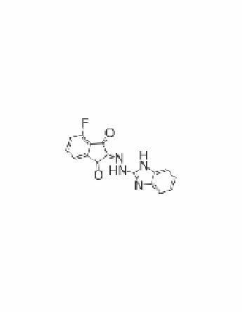 O=c1c(=NNc2nc3ccccc3[nH]2)c(=O)c2c(F)cccc12